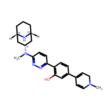 CN1C=CC(c2ccc(-c3ccc(N(C)[C@H]4C[C@H]5CCC[C@@H](C4)N5)nn3)c(O)c2)=CC1